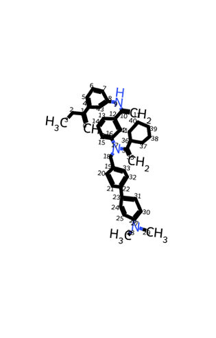 C=C(CC)c1cccc(NC(=C)c2cccc(N(Cc3ccc(-c4ccc(N(C)C)cc4)cc3)C(=C)C3CCCCC3)c2)c1